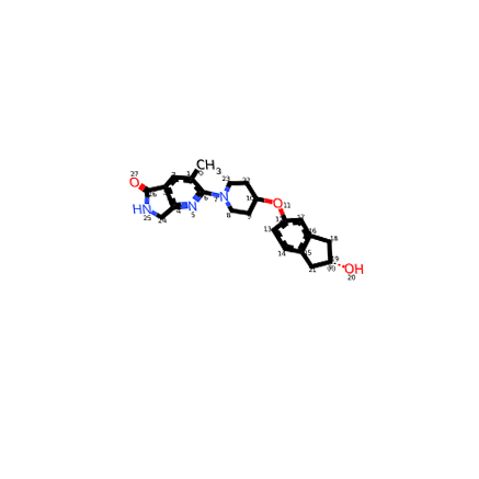 Cc1cc2c(nc1N1CCC(Oc3ccc4c(c3)C[C@H](O)C4)CC1)CNC2=O